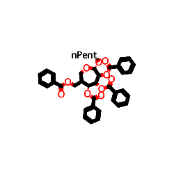 CCCCCO[C@H]1OCC(COC(=O)c2ccccc2)[C@@H](OC(=O)c2ccccc2)C(OC(=O)c2ccccc2)C1OC(=O)c1ccccc1